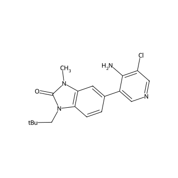 Cn1c(=O)n(CC(C)(C)C)c2ccc(-c3cncc(Cl)c3N)cc21